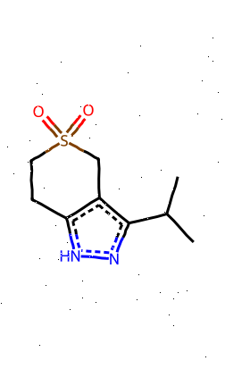 CC(C)c1n[nH]c2c1CS(=O)(=O)CC2